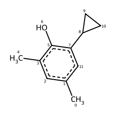 Cc1cc(C)c(O)c(C2CC2)c1